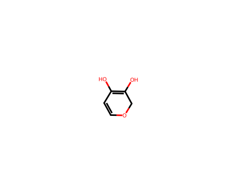 OC1=C(O)COC=C1